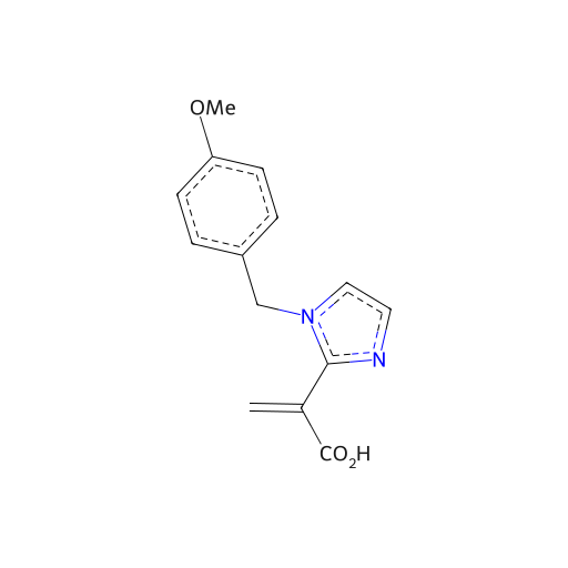 C=C(C(=O)O)c1nccn1Cc1ccc(OC)cc1